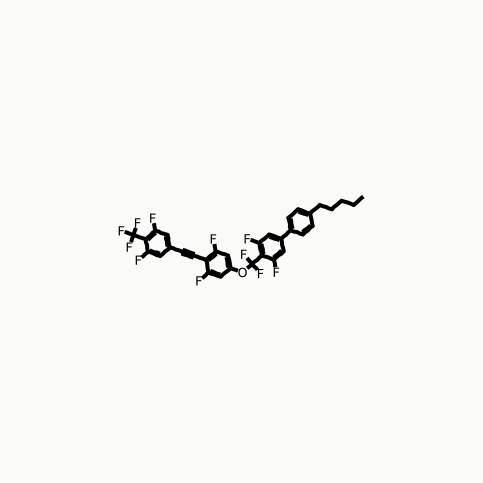 CCCCCc1ccc(-c2cc(F)c(C(F)(F)Oc3cc(F)c(C#Cc4cc(F)c(C(F)(F)F)c(F)c4)c(F)c3)c(F)c2)cc1